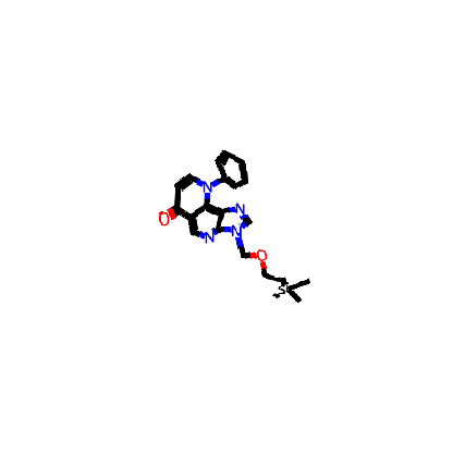 C[Si](C)(C)CCOCn1cnc2c1ncc1c(=O)ccn(-c3ccccc3)c12